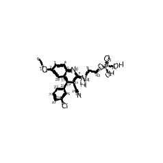 COc1ccc2nc(NCCOP(=O)(O)O)c(C#N)c(-c3cccc(Cl)c3)c2c1